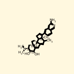 CC1C=C2C=C3[C@@H](O)[C@H](O)[C@@H](N(C)C)C[C@]34CC[C@]2(O4)C2CC=C(c3ccc4cnc(N)cc4c3)[C@@]12C